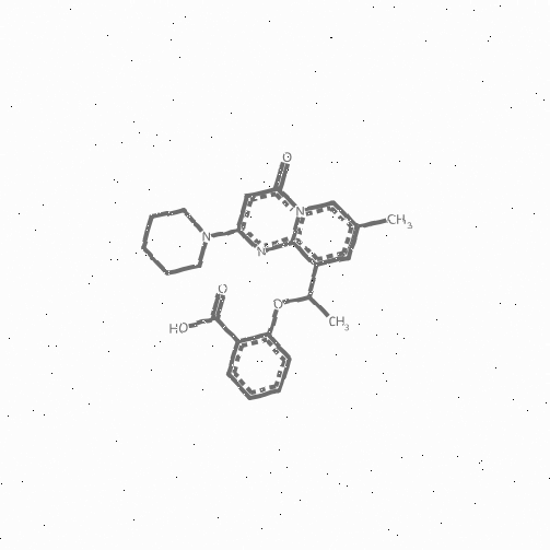 Cc1cc(C(C)Oc2ccccc2C(=O)O)c2nc(N3CCCCC3)cc(=O)n2c1